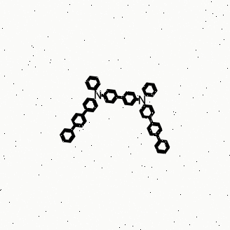 C1=CC(c2ccc(-c3ccccc3)cc2)CC=C1N(c1ccccc1)c1ccc(-c2ccc(N(c3ccccc3)c3ccc(-c4ccc(-c5ccccc5)cc4)cc3)cc2)cc1